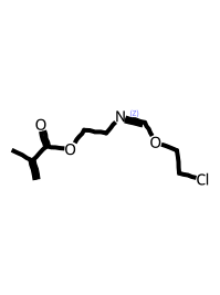 C=C(C)C(=O)OCC/N=C\OCCCl